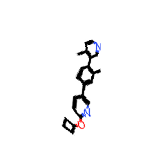 Cc1cc(-c2ccc(OC3CCC3)nc2)ccc1-c1cnccc1C